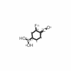 O=C=C1CCC(B(O)O)CC1F